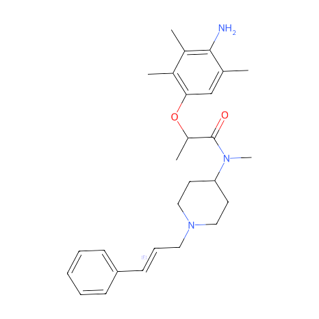 Cc1cc(OC(C)C(=O)N(C)C2CCN(C/C=C/c3ccccc3)CC2)c(C)c(C)c1N